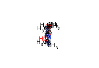 Cc1c(O)c(-c2ncc3c(=O)n([C@H]4CCN(C(=O)OC(C)(C)C)C(C)C4)ccc3n2)cc2cn(C)nc12